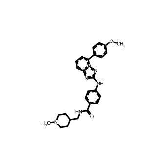 COc1ccc(-c2cccc3nc(Nc4ccc(C(=O)NCC5CCN(C)CC5)cc4)nn23)cc1